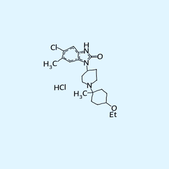 CCOC1CCC(C)(N2CCC(n3c(=O)[nH]c4cc(Cl)c(C)cc43)CC2)CC1.Cl